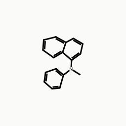 CN(c1ccccc1)c1cccc2ccccc12